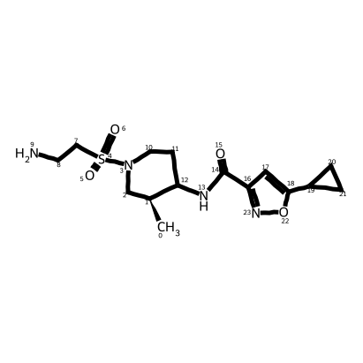 C[C@H]1CN(S(=O)(=O)CCN)CCC1NC(=O)c1cc(C2CC2)on1